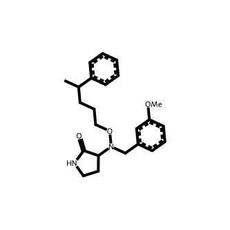 COc1cccc(CN(OCCCC(C)c2ccccc2)C2CCNC2=O)c1